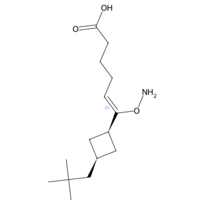 CC(C)(C)C[C@H]1C[C@@H](/C(=C/CCCC(=O)O)ON)C1